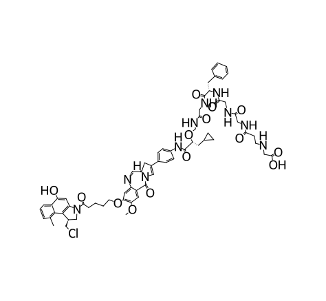 COc1cc2c(cc1OCCCCC(=O)N1C[C@@H](CCl)c3c1cc(O)c1cccc(C)c31)N=C[C@@H]1CC(c3ccc(NC(=O)[C@@H](CC4CC4)OCNC(=O)CNC(=O)[C@H](Cc4ccccc4)NC(=O)CNC(=O)CNC(=O)CCNCC(=O)O)cc3)=CN1C2=O